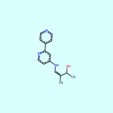 N#CC(=CNc1ccnc(-c2ccncc2)c1)C(O)C#N